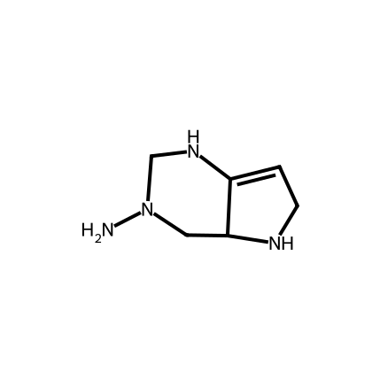 NN1CNC2=CCNC2C1